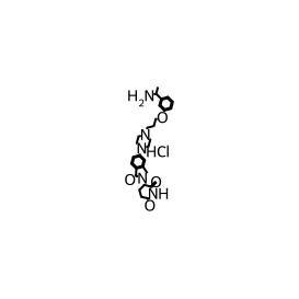 CC(N)c1cccc(OCCCN2CCN(c3ccc4c(c3)CN(C3CCC(=O)NC3=O)C4=O)CC2)c1.Cl